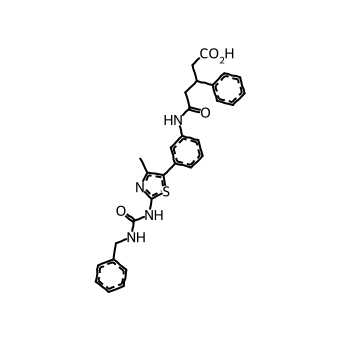 Cc1nc(NC(=O)NCc2ccccc2)sc1-c1cccc(NC(=O)CC(CC(=O)O)c2ccccc2)c1